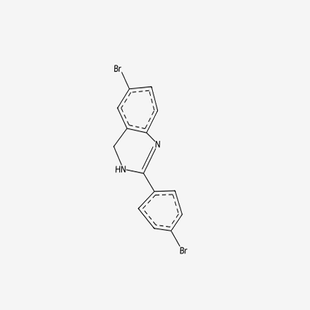 Brc1ccc(C2=Nc3ccc(Br)cc3CN2)cc1